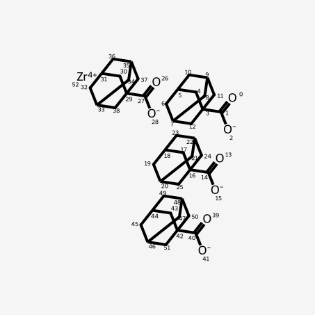 O=C([O-])C12CC3CC(CC(C3)C1)C2.O=C([O-])C12CC3CC(CC(C3)C1)C2.O=C([O-])C12CC3CC(CC(C3)C1)C2.O=C([O-])C12CC3CC(CC(C3)C1)C2.[Zr+4]